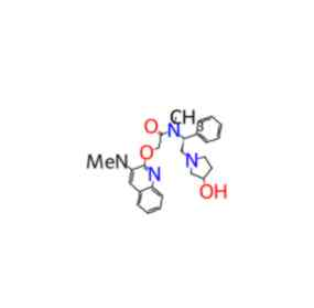 CNc1cc2ccccc2nc1OCC(=O)N(C)[C@H](CN1CCC(O)C1)c1ccccc1